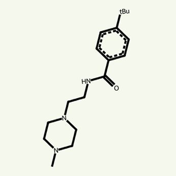 CN1CCN(CCNC(=O)c2ccc(C(C)(C)C)cc2)CC1